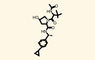 CC(=O)NC(C(=O)N1CC(O)CC1C(=O)N[C@@H](C)c1ccc(C2CC2)cc1)C(C)(C)C